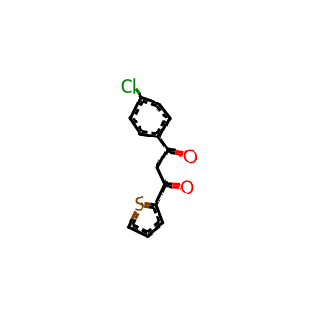 O=C(CC(=O)c1cccs1)c1ccc(Cl)cc1